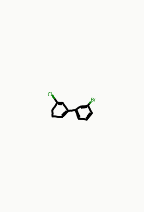 ClC1=CC(c2cccc(Br)c2)=CCC1